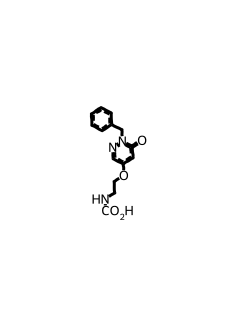 O=C(O)NCCOc1cnn(Cc2ccccc2)c(=O)c1